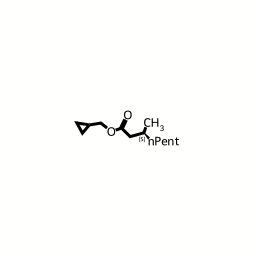 CCCCC[C@H](C)CC(=O)OCC1CC1